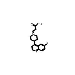 O=C(O)CCN1CCC(c2ccnc3ccc(F)cc23)CC1